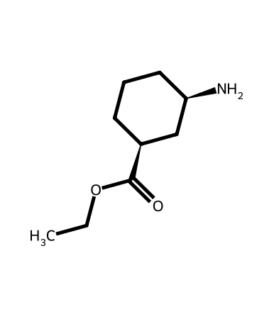 CCOC(=O)[C@H]1CCC[C@@H](N)C1